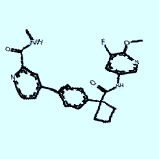 CNC(=O)c1cc(-c2ccc(C3(C(=O)Nc4cnc(OC)c(F)c4)CCC3)cc2)ccn1